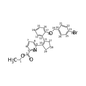 CCOC(=O)c1cccc(C2=C(c3ccccc3OCc3ccc(Br)cc3)CCC2)n1